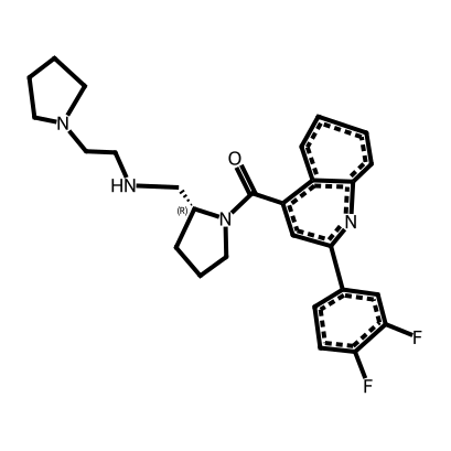 O=C(c1cc(-c2ccc(F)c(F)c2)nc2ccccc12)N1CCC[C@@H]1CNCCN1CCCC1